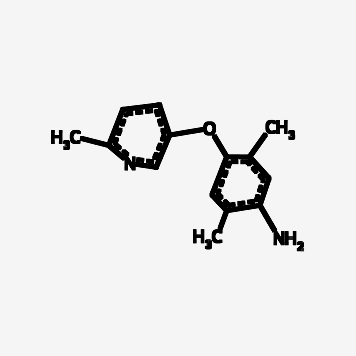 Cc1ccc(Oc2cc(C)c(N)cc2C)cn1